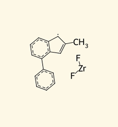 CC1=Cc2c(cccc2-c2ccccc2)[CH]1.[F][Zr][F]